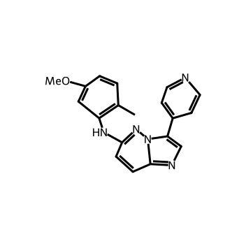 COc1ccc(C)c(Nc2ccc3ncc(-c4ccncc4)n3n2)c1